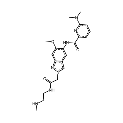 CNCCNC(=O)Cn1cc2cc(NC(=O)c3cccc(N(C)C)n3)c(OC)cc2n1